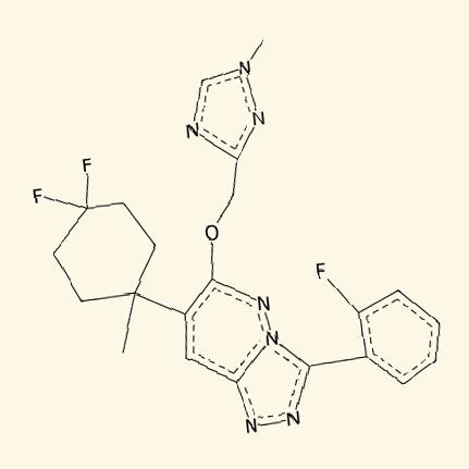 Cn1cnc(COc2nn3c(-c4ccccc4F)nnc3cc2C2(C)CCC(F)(F)CC2)n1